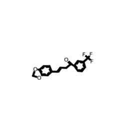 O=C(C/C=C/c1ccc2c(c1)OCO2)c1cccc(C(F)(F)F)c1